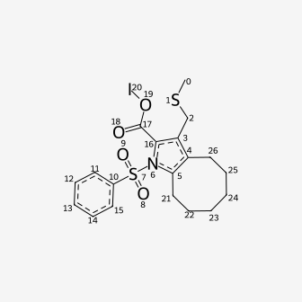 CSCc1c2c(n(S(=O)(=O)c3ccccc3)c1C(=O)OI)CCCCCC2